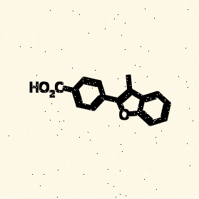 Cc1c(-c2ccc(C(=O)O)cc2)oc2ccccc12